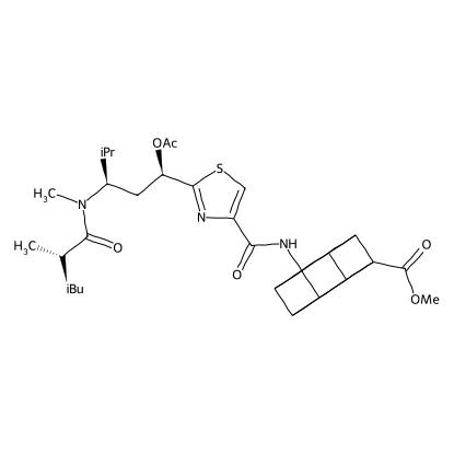 CC[C@H](C)[C@H](C)C(=O)N(C)[C@H](C[C@@H](OC(C)=O)c1nc(C(=O)NC23C4C5C2C2C3C4C52C(=O)OC)cs1)C(C)C